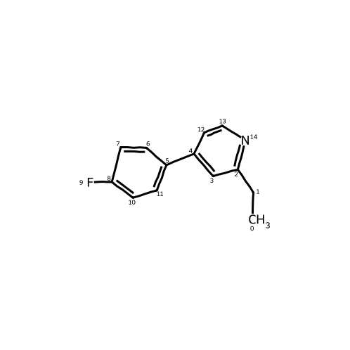 CCc1cc(-c2ccc(F)cc2)ccn1